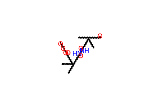 CCCCCCCCC(CCCCCCCCC(C)=O)C(CCCCCCCC)CCCCCCCCC(=O)NCCNC(=O)CCCCCCCCC(CCCCCCCC)C(CCCCCCCC)CCCCCCCCC(=O)OCCCOCCCOC